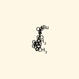 CC(C)(C)OC(=O)N1CC(C(=O)OC2CC[C@@]3(C)C(C2)C(=O)C(=O)[C@@H]2[C@H]3CC[C@]3(C)CCC[C@@H]23)C1